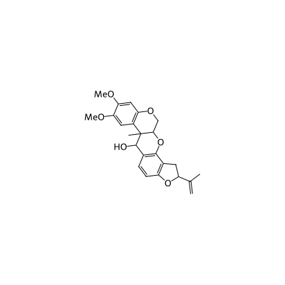 C=C(C)C1Cc2c(ccc3c2OC2COc4cc(OC)c(OC)cc4C2(C)C3O)O1